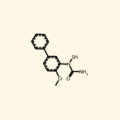 COc1ccc(-c2ccccc2)cc1N(S)C(N)=O